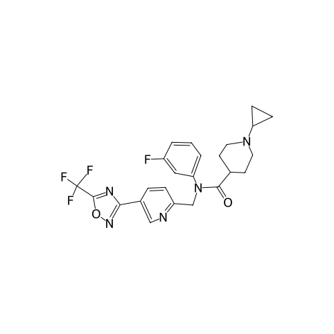 O=C(C1CCN(C2CC2)CC1)N(Cc1ccc(-c2noc(C(F)(F)F)n2)cn1)c1cccc(F)c1